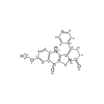 COc1ccc2[nH]c3c(c(=O)c2c1)CN1C(=O)CCC(c2ccccc2)=C31